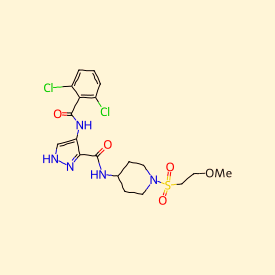 COCCS(=O)(=O)N1CCC(NC(=O)c2n[nH]cc2NC(=O)c2c(Cl)cccc2Cl)CC1